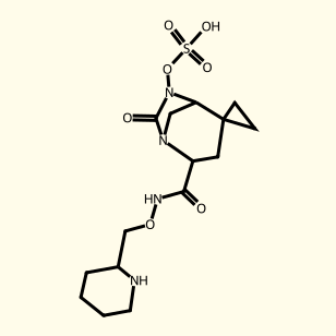 O=C(NOCC1CCCCN1)C1CC2(CC2)C2CN1C(=O)N2OS(=O)(=O)O